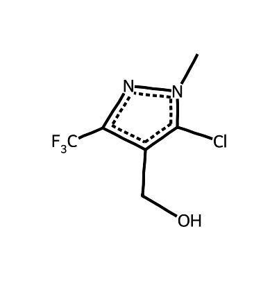 Cn1nc(C(F)(F)F)c(CO)c1Cl